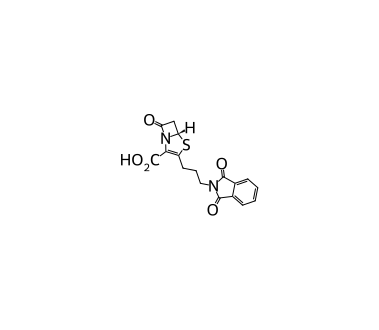 O=C(O)C1=C(CCCN2C(=O)c3ccccc3C2=O)S[C@H]2CC(=O)N12